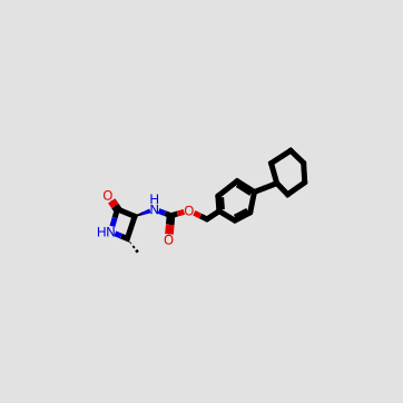 C[C@@H]1NC(=O)[C@H]1NC(=O)OCc1ccc(C2CCCCC2)cc1